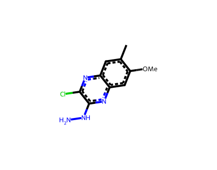 COc1cc2nc(NN)c(Cl)nc2cc1C